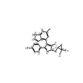 Cc1cc(-c2c(-c3ccc(F)cn3)nn3c2C[C@]2(C3)CC2(F)F)c2cn[nH]c2n1